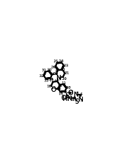 O=S(=O)(Nc1ncns1)c1ccc2c(c1)OCCC2N1CCc2ccccc2[C@H]1c1ccccc1